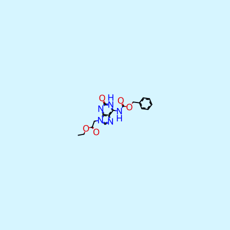 CCOC(=O)Cn1cnc2c(NC(=O)OCc3ccccc3)[nH]c(=O)nc21